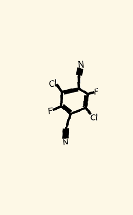 N#Cc1c(F)c(Cl)c(C#N)c(F)c1Cl